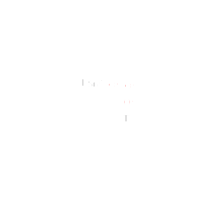 [O-2].[O-2].[O-2].[Sn+4].[Tl+].[Tl+]